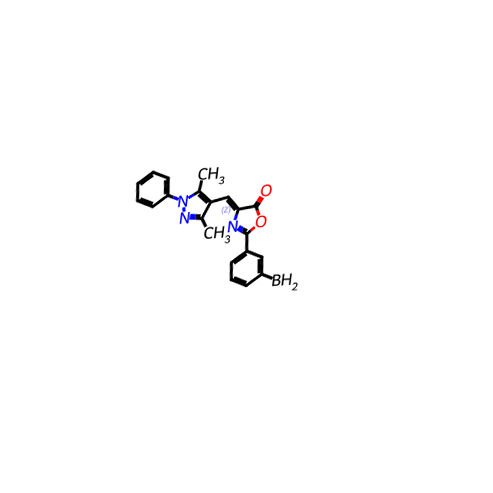 Bc1cccc(C2=N/C(=C\c3c(C)nn(-c4ccccc4)c3C)C(=O)O2)c1